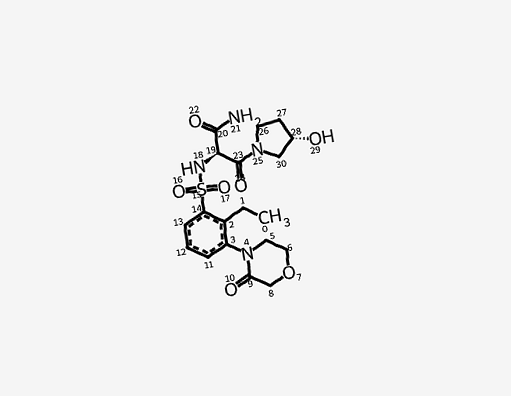 CCc1c(N2CCOCC2=O)cccc1S(=O)(=O)N[C@@H](C(N)=O)C(=O)N1CC[C@H](O)C1